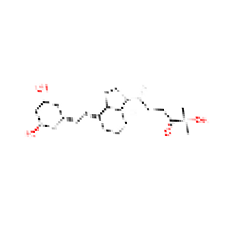 C[C@H](CCC(=O)C(C)(C)O)[C@H]1CCC2/C(=C/C=C3C[C@@H](O)C[C@H](O)C3)CCC[C@@]21C